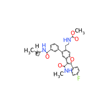 CNC(=O)c1c(-c2ccc(F)cc2)oc2cc(CCNC(=O)OC)c(-c3cccc(C(=O)NC45CC(C4)[C@H]5C)c3)cc12